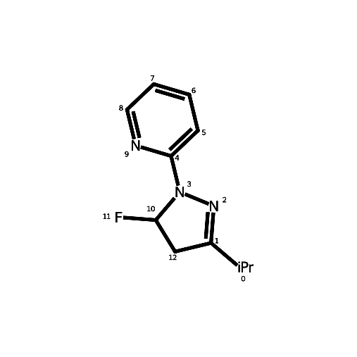 CC(C)C1=NN(c2ccccn2)C(F)C1